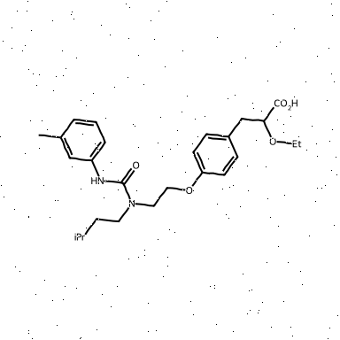 CCOC(Cc1ccc(OCCN(CCC(C)C)C(=O)Nc2cccc(C)c2)cc1)C(=O)O